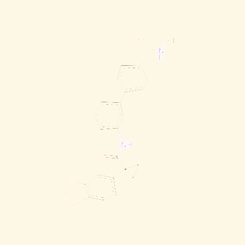 CN[S+]([O-])c1ccc(-c2cccc(NC(=O)C3(c4cc5c(cc4F)OCO5)CC3)c2)cc1